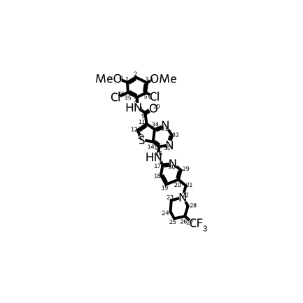 COc1cc(OC)c(Cl)c(NC(=O)c2csc3c(Nc4ccc(CN5CCCC(C(F)(F)F)C5)cn4)ncnc23)c1Cl